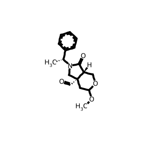 COC1C[C@@]2(C=O)CN([C@H](C)c3ccccc3)C(=O)[C@@H]2CO1